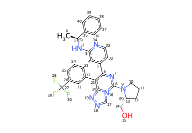 C[C@H](Nc1cc(-c2nc(N3CCC[C@@H]3CO)n3cnnc3c2-c2cccc(C(F)(F)F)c2)ccn1)c1ccccc1